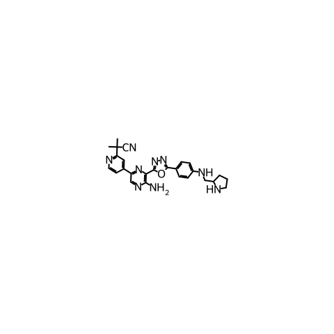 CC(C)(C#N)c1cc(-c2cnc(N)c(-c3nnc(-c4ccc(NCC5CCCN5)cc4)o3)n2)ccn1